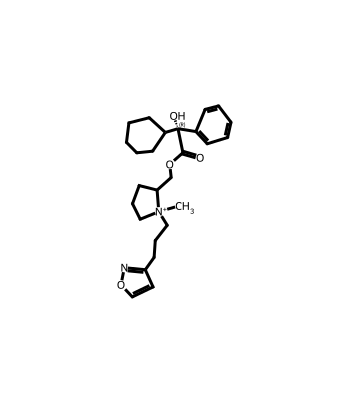 C[N+]1(CCCc2ccon2)CCCC1COC(=O)[C@](O)(c1ccccc1)C1CCCCC1